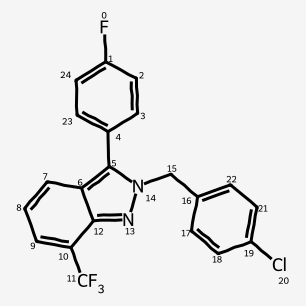 Fc1ccc(-c2c3cccc(C(F)(F)F)c3nn2Cc2ccc(Cl)cc2)cc1